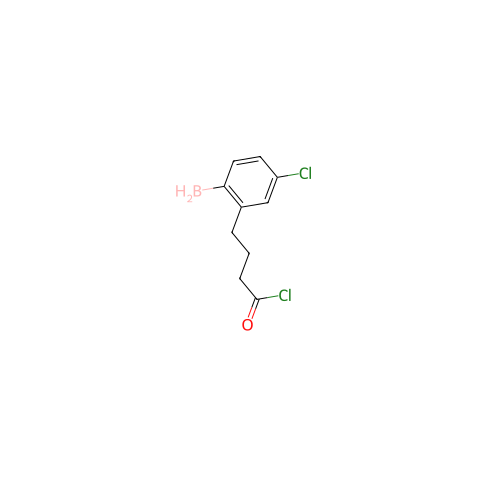 Bc1ccc(Cl)cc1CCCC(=O)Cl